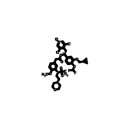 COc1ccc(CC(=O)O[C@@H](Cc2c(Cl)c[n+]([O-])cc2Cl)c2ccc(OC(F)F)c(OCC3CC3)c2)cc1N(CCN1CCOCC1)S(C)(=O)=O